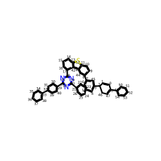 C1=CC(c2cccc(-c3ccc4sc5cccc(-c6nc(-c7ccccc7)nc(-c7ccc(-c8ccccc8)cc7)n6)c5c4c3)c2)CC=C1c1ccccc1